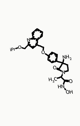 CC(C)OCc1cc(COc2ccc(C3(N)CCN(C(C)C(=O)NO)C3=O)cc2)c2ccccc2n1